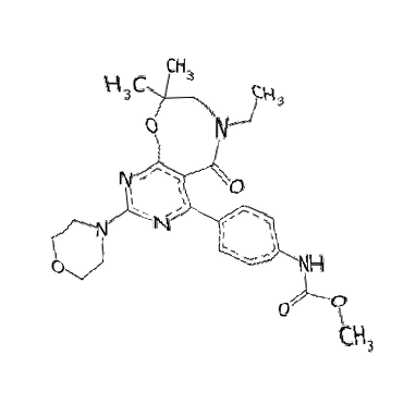 CCN1CC(C)(C)Oc2nc(N3CCOCC3)nc(-c3ccc(NC(=O)OC)cc3)c2C1=O